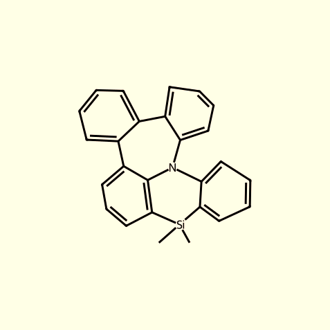 C[Si]1(C)c2ccccc2N2c3ccccc3-c3ccccc3-c3cccc1c32